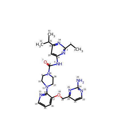 CCc1nc(NC(=O)N2CCN(c3ncccc3OCc3ccnc(N)n3)CC2)cc(C(C)C)n1